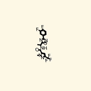 CC(NC(=O)c1cc(C(F)(F)F)nn1C)c1nc(-c2ccc(F)c(F)c2)no1